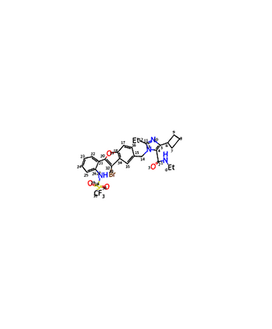 CCNC(=O)c1c(C2CCC2)nc(CC)n1Cc1ccc2oc(-c3ccccc3NS(=O)(=O)C(F)(F)F)c(Br)c2c1